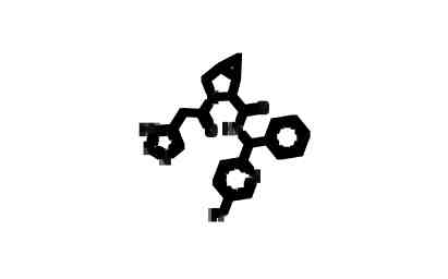 CC(C)c1ccc(C(NC(=O)C2C3CC3CN2C(=O)Cc2cnn[nH]2)c2ccccc2)nc1